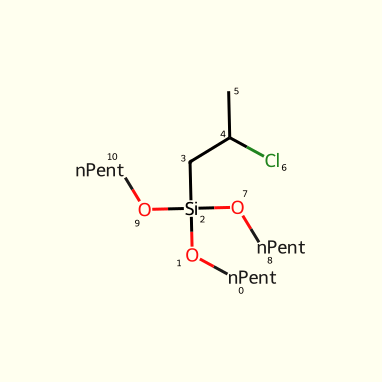 CCCCCO[Si](CC(C)Cl)(OCCCCC)OCCCCC